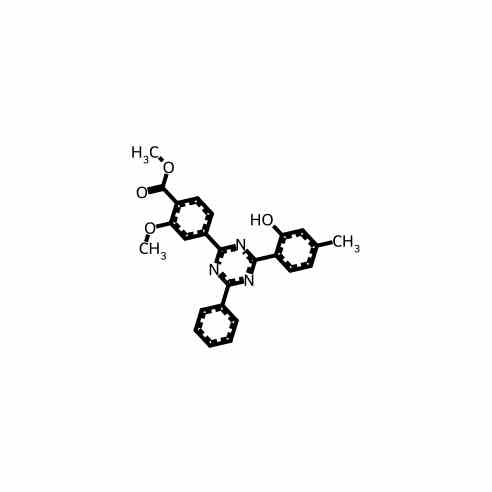 COC(=O)c1ccc(-c2nc(-c3ccccc3)nc(-c3ccc(C)cc3O)n2)cc1OC